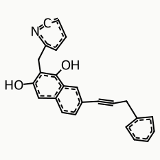 Oc1cc2ccc(C#CCc3ccccc3)cc2c(O)c1Cc1ccccn1